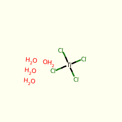 O.O.O.O.[Cl][Ti]([Cl])([Cl])[Cl]